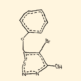 Oc1nncc(Oc2ccccc2)c1Br